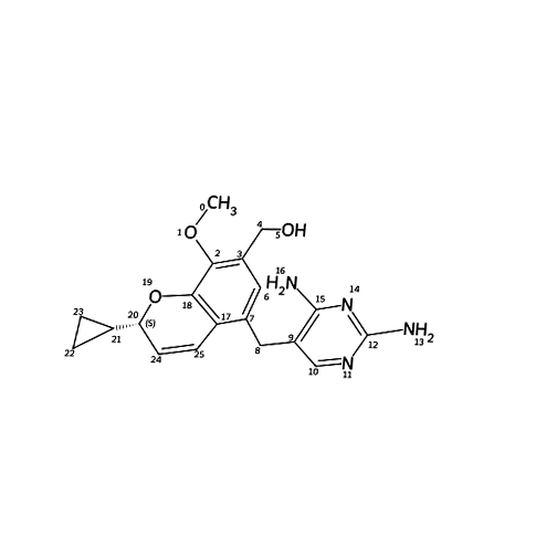 COc1c(CO)cc(Cc2cnc(N)nc2N)c2c1O[C@@H](C1CC1)C=C2